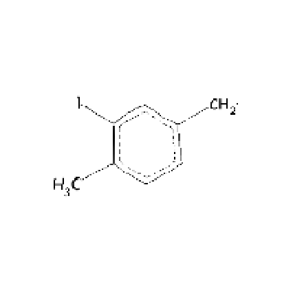 [CH2]c1ccc(C)c(I)c1